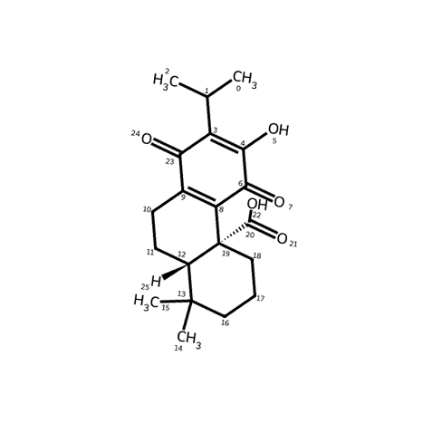 CC(C)C1=C(O)C(=O)C2=C(CC[C@H]3C(C)(C)CCC[C@]23C(=O)O)C1=O